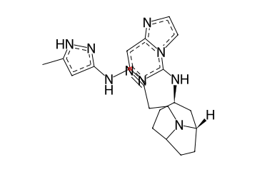 Cc1cc(Nc2cc3nccn3c(N[C@@H]3CCC4CC[C@@H](C3)N4CCC#N)n2)n[nH]1